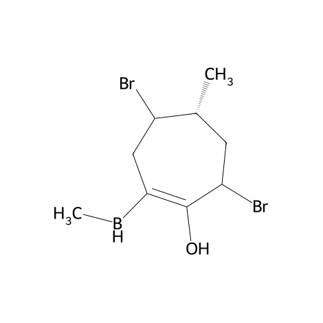 CBC1=C(O)C(Br)C[C@@H](C)C(Br)C1